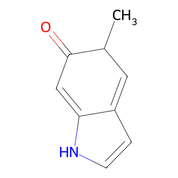 CC1C=c2cc[nH]c2=CC1=O